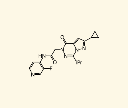 CC(C)c1nn(CC(=O)Nc2ccncc2F)c(=O)c2cc(C3CC3)nn12